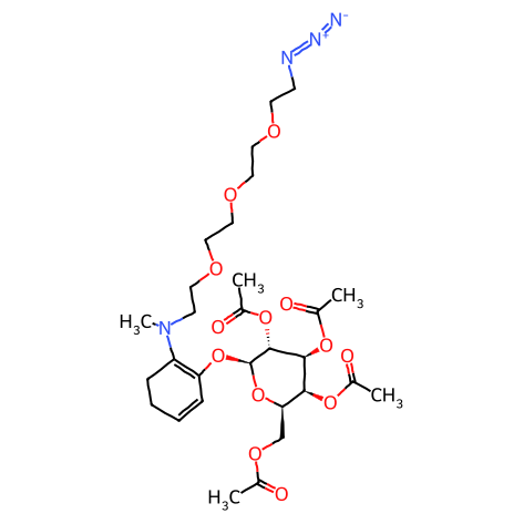 CC(=O)OC[C@H]1O[C@@H](OC2=C(N(C)CCOCCOCCOCCN=[N+]=[N-])CCC=C2)[C@H](OC(C)=O)[C@@H](OC(C)=O)[C@H]1OC(C)=O